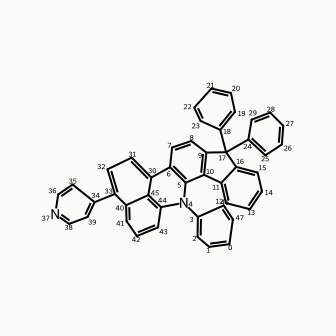 c1ccc(N2c3c(ccc4c3-c3ccccc3C4(c3ccccc3)c3ccccc3)-c3ccc(-c4ccncc4)c4cccc2c34)cc1